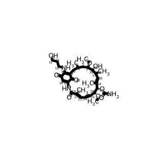 COC1CC(C)CC2=C(NCCCO)C(=O)C=C(NC(=O)/C(C)=C/C=C\C(OC)[C@@H](OC(N)=O)/C(C)=C/C(C)C1O)C2=O